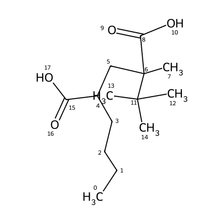 CCCCC(CC(C)(C(=O)O)C(C)(C)C)C(=O)O